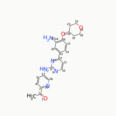 CC(=O)c1ccc(Nc2nccc(-c3ccc(OC4CCOCC4)c(N)c3)n2)cn1